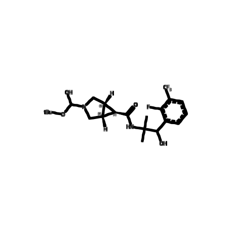 CC(C)(C)OC(O)N1C[C@@H]2[C@H](C1)[C@H]2C(=O)NC(C)(C)C(O)c1cccc(C(F)(F)F)c1F